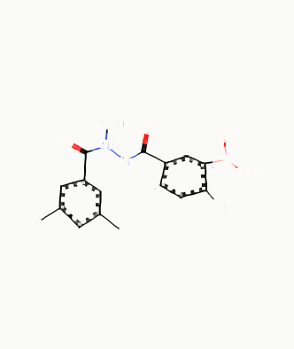 Cc1cc(C)cc(C(=O)N(NC(=O)c2ccc(C=O)c(B(O)O)c2)C(C)(C)C)c1